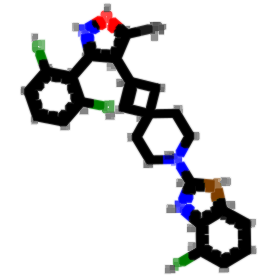 CC(C)c1onc(-c2c(Cl)cccc2Cl)c1C1=CC2(CCN(c3nc4c(F)cccc4s3)CC2)C1